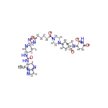 Cc1cc(NC(=O)Nc2cnc3ccnn3c2C(C)(C)C)cnc1-c1noc(CCCCC(=O)N2CCN(c3ccc4c(c3)CN(C3CCC(=O)NC3=O)C4=O)CC2)n1